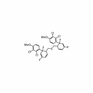 COc1ccc(C2(F)C=C(F)C=CC2CSCC2C=CC(F)=CC2(F)c2ccc(OC)c(Cl)c2Cl)c(Cl)c1Cl